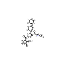 CN(C(=O)/C=C/C(F)(F)F)C(CNC(=O)C1=C(O)C(=O)NC1)C1CCC(c2ccccc2)CC1